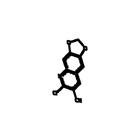 N#Cc1cc2cc3c(cc2nc1Cl)OCO3